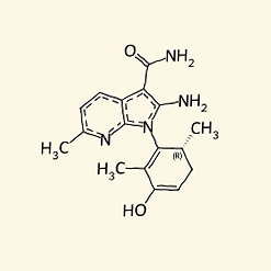 CC1=C(n2c(N)c(C(N)=O)c3ccc(C)nc32)[C@H](C)CC=C1O